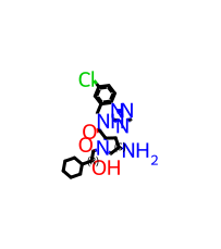 N[C@H]1CC(C(=O)NCc2cc(Cl)ccc2-n2cncn2)N(C(=O)[C@H](O)C2CCCCC2)C1